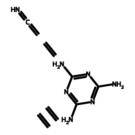 C=C.C=C.C=C.C=C=N.Nc1nc(N)nc(N)n1